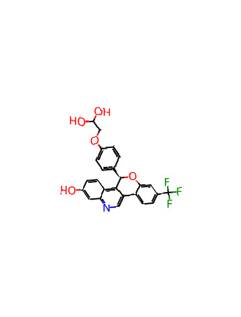 Oc1ccc2c3c(cnc2c1)-c1ccc(C(F)(F)F)cc1O[C@@H]3c1ccc(OCC(O)O)cc1